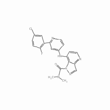 CN(C)C(=O)n1ncc2nccc(Nc3ccnc(-c4cc(Cl)ccc4F)c3)c21